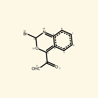 O=CC(=O)C1=c2ccccc2=NC(Br)O1